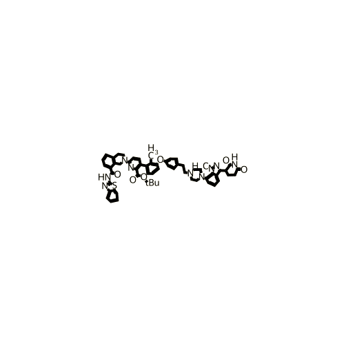 Cc1c(Oc2ccc(CCN3CCN(c4cccc5c(C6CCC(=O)NC6=O)nn(C)c45)CC3)cc2)cccc1-c1ccc(N2CCc3cccc(C(=O)Nc4nc5ccccc5s4)c3C2)nc1C(=O)OC(C)(C)C